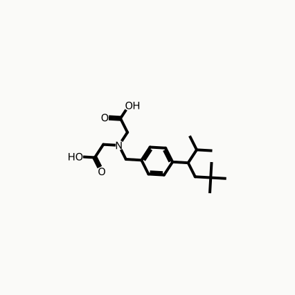 CC(C)C(CC(C)(C)C)c1ccc(CN(CC(=O)O)CC(=O)O)cc1